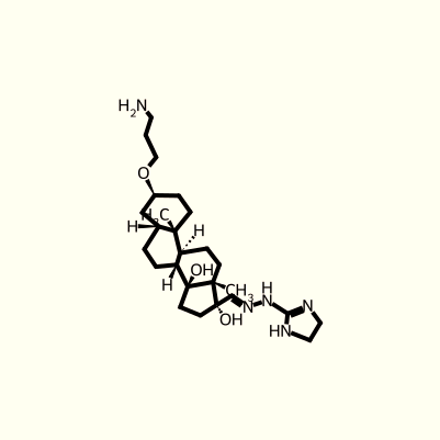 C[C@]12CC[C@H](OCCCN)C[C@H]1CC[C@@H]1[C@@H]2CC[C@]2(C)[C@@](O)(/C=N/NC3=NCCN3)CC[C@]12O